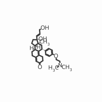 CN(C)CCOc1ccc([C@H]2C[C@@]3(C)[C@@H](CC[C@@]3(O)C=CCO)[C@@H]3CCC4=CC(=O)CCC4=C32)cc1